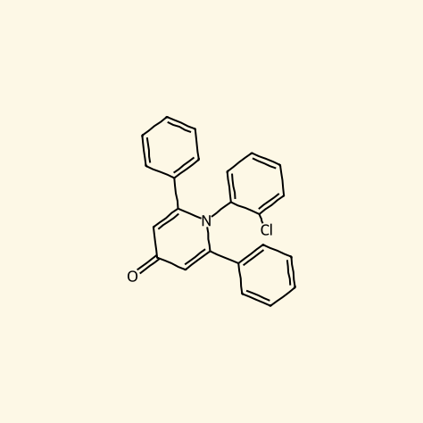 O=c1cc(-c2ccccc2)n(-c2ccccc2Cl)c(-c2ccccc2)c1